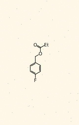 CCC(=O)OCc1ccc(F)cc1